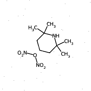 CC1(C)CCCC(C)(C)N1.O=[N+]([O-])O[N+](=O)[O-]